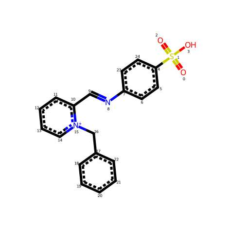 O=S(=O)(O)c1ccc(N=Cc2cccc[n+]2Cc2ccccc2)cc1